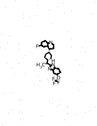 C[C@@H](c1nc2cc(OC(F)(F)F)ccc2[nH]1)[C@H]1CC[C@@H](c2ccnc3ccc(F)cc32)CC1